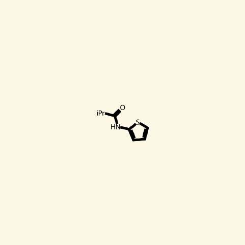 CC(C)C(=O)Nc1cccs1